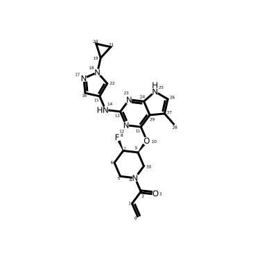 C=CC(=O)N1CC[C@@H](F)[C@@H](Oc2nc(Nc3cnn(C4CC4)c3)nc3[nH]cc(C)c23)C1